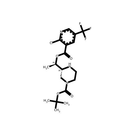 C[C@@H](OC(=O)c1cc(C(F)(F)F)cnc1Cl)[C@H]1CN(C(=O)OC(C)(C)C)CCN1